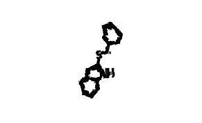 [CH](Sc1cc2ccccc2[nH]1)c1ccccc1